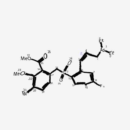 CC[As](CC)C/C=C\c1cc(F)ccc1S(=O)(=O)Cc1ccc(Br)c(OC)c1C(=O)OC